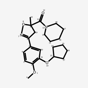 COc1ccc(C2=NOC(C)(C(=O)N3CCCCC3)C2)cc1OC1CCCC1